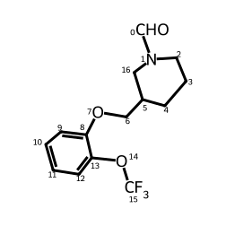 O=CN1CCCC(COc2ccccc2OC(F)(F)F)C1